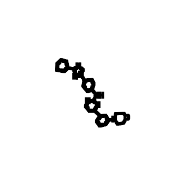 c1ccc(-c2ncn(-c3ccc(Nc4nccc(-c5cccc(N6CCOCC6)c5)n4)cc3)n2)cc1